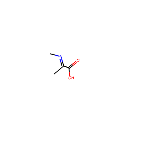 C/N=C(\C)C(=O)O